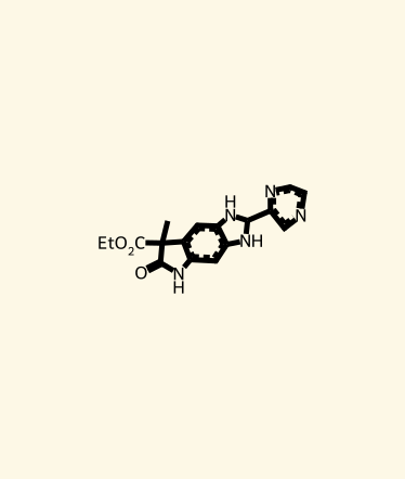 CCOC(=O)C1(C)C(=O)Nc2cc3c(cc21)NC(c1cnccn1)N3